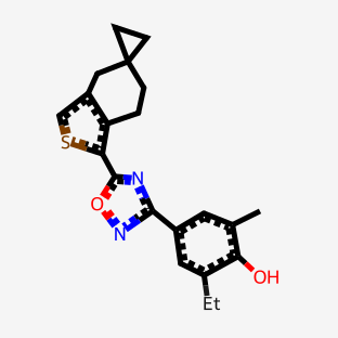 CCc1cc(-c2noc(-c3scc4c3CCC3(CC3)C4)n2)cc(C)c1O